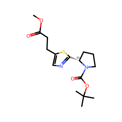 COC(=O)CCc1cnc([C@@H]2CCCN2C(=O)OC(C)(C)C)s1